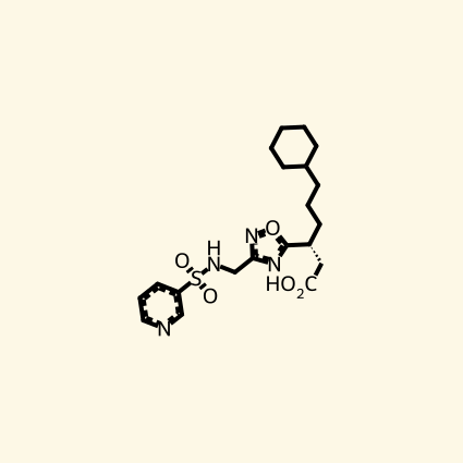 O=C(O)C[C@@H](CCCC1CCCCC1)c1nc(CNS(=O)(=O)c2cccnc2)no1